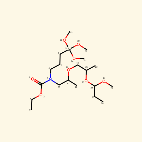 CCOC(=O)N(CCC[Si](OC)(OC)OC)CC(C)OCC(C)OC(CC)OC